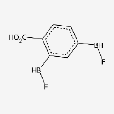 O=C(O)c1ccc(BF)cc1BF